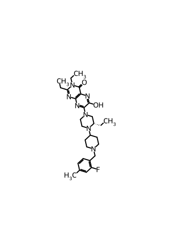 CCc1nc2nc(N3CCN(C4CCN(Cc5ccc(C)cc5F)CC4)[C@@H](CC)C3)c(O)nc2c(=O)n1CC